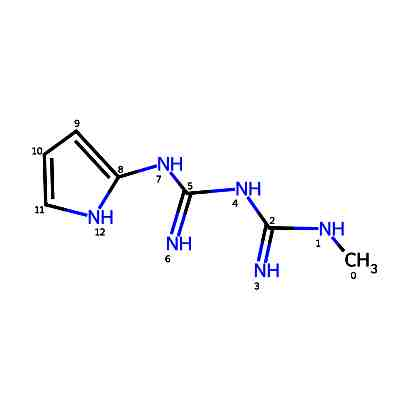 CNC(=N)NC(=N)Nc1ccc[nH]1